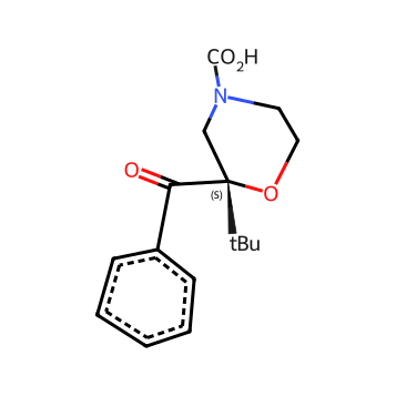 CC(C)(C)[C@@]1(C(=O)c2ccccc2)CN(C(=O)O)CCO1